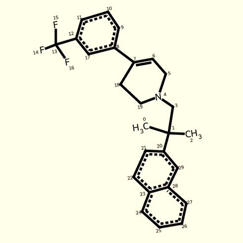 CC(C)(CN1CC=C(c2cccc(C(F)(F)F)c2)CC1)c1ccc2ccccc2c1